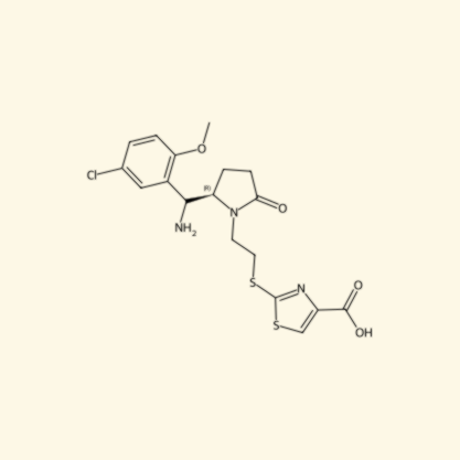 COc1ccc(Cl)cc1C(N)[C@H]1CCC(=O)N1CCSc1nc(C(=O)O)cs1